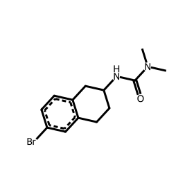 CN(C)C(=O)NC1CCc2cc(Br)ccc2C1